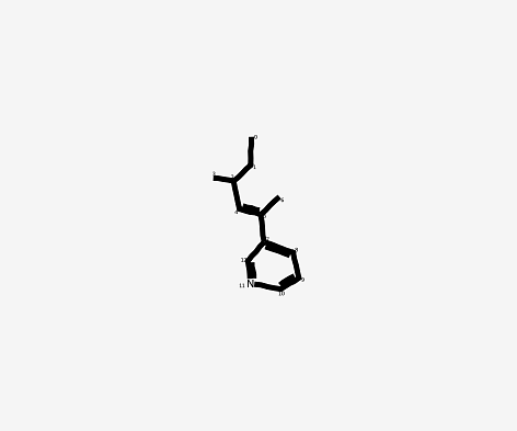 CCC(C)C=C(C)c1cccnc1